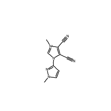 Cn1ccc(-n2c[n+](C)c(C#N)c2C#N)n1